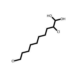 OC(O)C(Cl)CCCCCCCCCl